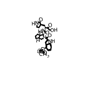 CS(=O)(=O)Oc1cccc2[nH]c(C(=O)N3C[C@@H]4CCC[C@@H]4[C@H]3C(=O)N[C@@H](CC3CCNC3=O)C(=O)CO)cc12